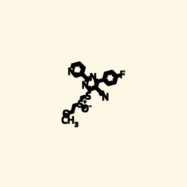 COCC[S+]([O-])CSc1nc(-c2cccnc2)nc(-c2ccc(F)cc2)c1C#N